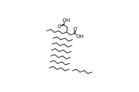 CCCCCC.CCCCCC.CCCCCC.CCCCCC.CCCCCC.CCCCCC.CCCCCC.CCCCCC(CC(=O)O)CC(=O)O